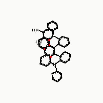 Nc1cccc(-c2cccc(-c3ccccc3N(c3ccccc3)c3ccccc3)c2-c2ccccc2N(c2ccccc2)c2ccccc2)c1N